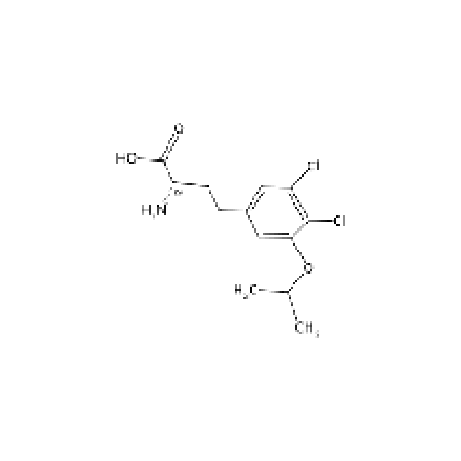 CC(C)Oc1cc(CC[C@H](N)C(=O)O)cc(Cl)c1Cl